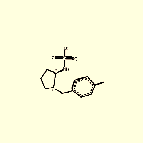 CCS(=O)(=O)N[C@@H]1CCC[C@@H]1Cc1ccc(I)cc1